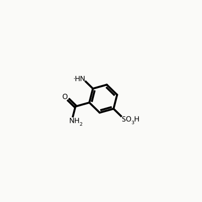 [NH]c1ccc(S(=O)(=O)O)cc1C(N)=O